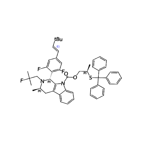 C[C@H](COC(=O)n1c2c(c3ccccc31)C[C@@H](C)N(CC(C)(C)F)[C@@H]2c1c(F)cc(/C=C/C(C)(C)C)cc1F)SC(c1ccccc1)(c1ccccc1)c1ccccc1